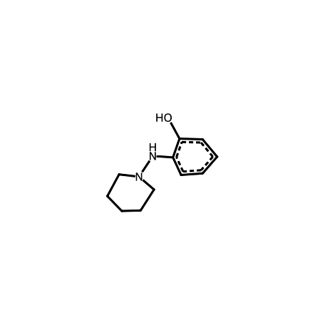 Oc1ccccc1NN1CCCCC1